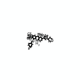 CNc1c(-c2cnn(C3CCOCC3)c2)cnc(N)c1C(=N)c1ccc(NS(=O)(=O)CC(F)(F)F)c(O[C@@H](C)c2ccc(F)cc2)c1